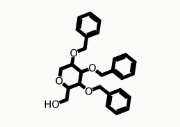 OCC1OCC(OCc2ccccc2)C(OCc2ccccc2)C1OCc1ccccc1